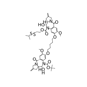 C=C1C[C@H]2C(O)N(C(=O)OCCSSC(C)C)c3cc(OCCCCCOc4cc5c(cc4OC)C(=O)N4CC(=C)C[C@H]4C(O)N5C(=O)OC(C)(C)C)c(OC)cc3C(=O)N2C1